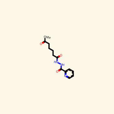 COC(=O)CCCCC(=O)NNC(=O)c1ccccn1